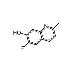 Cc1ccc2cc(F)c(O)cc2n1